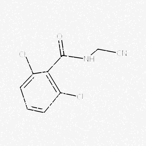 N#CCNC(=O)c1c(Cl)cccc1Cl